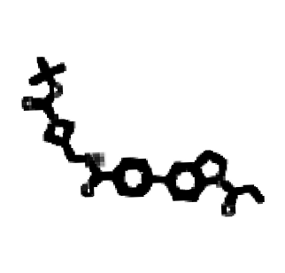 CCC(=O)N1CCc2cc(-c3ccc(C(=O)NCC4CN(C(=O)OC(C)(C)C)C4)cc3)ccc21